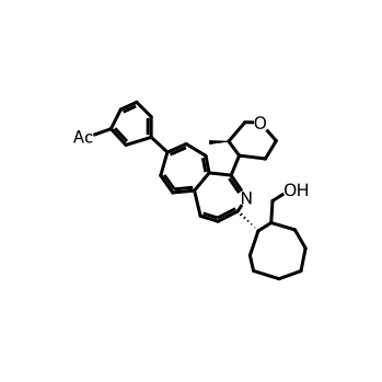 CC(=O)c1cccc(C2=CC=C3C(=C=C2)C=C=C([C@H]2CCCCCCC2CO)N=C3C2CCOC[C@@H]2C)c1